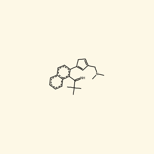 CN(C)CC1=CCC(c2ccc3ccccc3c2C(=N)C(C)(C)C)=C1